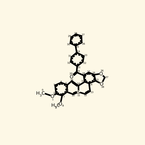 COc1ccc2c(c1OC)C=S1C=Cc3c4c(cc(C(=O)c5ccc(-c6ccccc6)cc5)c3C1=C2)OCO4